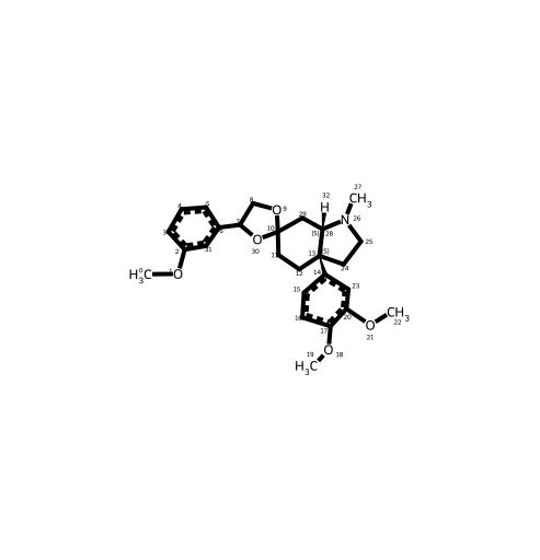 COc1cccc(C2COC3(CC[C@@]4(c5ccc(OC)c(OC)c5)CCN(C)[C@H]4C3)O2)c1